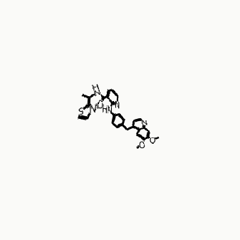 COc1cc2nccc(Cc3ccc(Nc4ncccc4C(=O)NC(C)c4nccs4)cc3)c2cc1OC